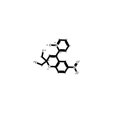 O=[N+]([O-])c1ccc2c(c1)C(c1cccc[n+]1[O-])=CC(CF)(CF)O2